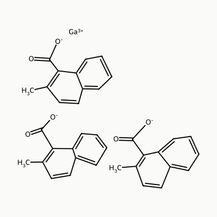 Cc1ccc2ccccc2c1C(=O)[O-].Cc1ccc2ccccc2c1C(=O)[O-].Cc1ccc2ccccc2c1C(=O)[O-].[Ga+3]